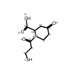 O=C1CCN(C(=O)CCS)C(C(=O)O)C1